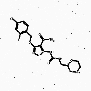 NC(=O)c1c(OCc2ccc(Cl)cc2F)nsc1NC(=O)NCC1CNCCO1